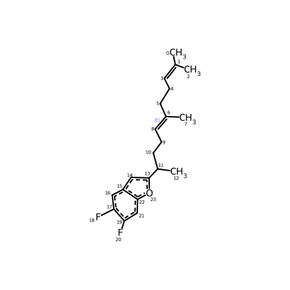 CC(C)=CCC/C(C)=C/CCC(C)c1cc2cc(F)c(F)cc2o1